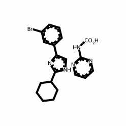 Brc1cccc(-c2c[nH]c(C3CCCCC3)n2)c1.O=C(O)Nc1ncccn1